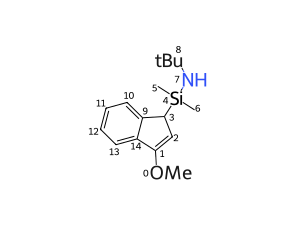 COC1=CC([Si](C)(C)NC(C)(C)C)c2ccccc21